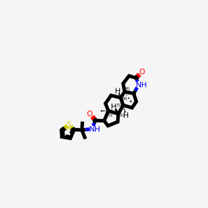 CC(C)(NC(=O)C1CC[C@H]2[C@@H]3CCC4NC(=O)CC[C@]4(C)[C@@H]3CC[C@]12C)c1cccs1